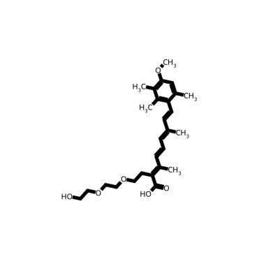 COc1cc(C)c(/C=C/C(C)=C/C=C/C(C)=C(\CCOCCOCCO)C(=O)O)c(C)c1C